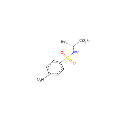 CC(C)[C@@H](NS(=O)(=O)c1ccc([N+](=O)[O-])cc1)C(=O)O